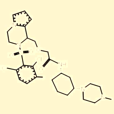 Cc1ccc(Cl)c(S(=O)(=O)N2CCn3cccc3C2COCC(=O)N[C@H]2CCC[C@@H](N3CCN(C)CC3)C2)c1Cl